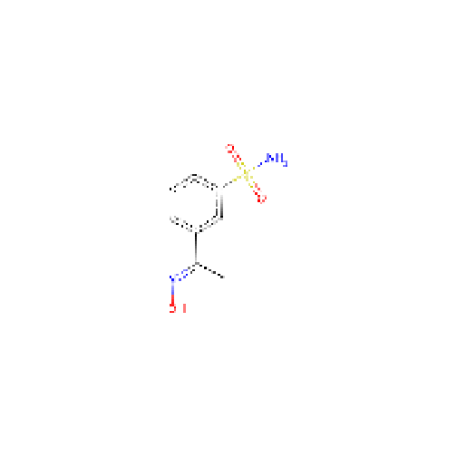 C/C(=N\O)c1cccc(S(N)(=O)=O)c1